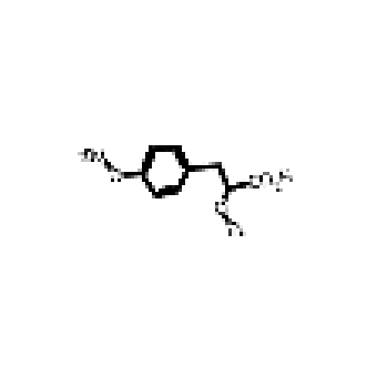 CCOC(Cc1ccc(OC(C)(C)C)cc1)C(=O)O